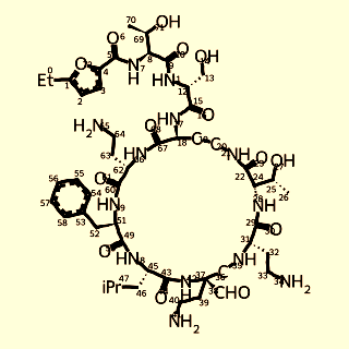 CCc1ccc(C(=O)N[C@H](C(=O)N[C@H](CO)C(=O)N[C@H]2CCNC(=O)[C@H]([C@@H](C)O)NC(=O)[C@H](CCN)NC[C@](C=O)(CCN)NC(=O)[C@H](CC(C)C)NC(=O)[C@@H](Cc3ccccc3)NC(=O)[C@H](CCN)NC2=O)[C@@H](C)O)o1